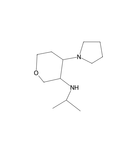 CC(C)NC1COCCC1N1CCCC1